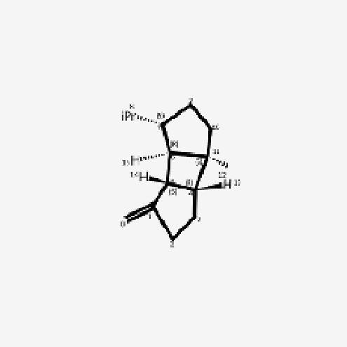 C=C1CC[C@@H]2[C@H]1[C@H]1[C@H](C(C)C)CC[C@]12C